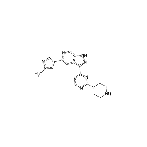 Cn1cc(-c2cc3c(-c4ccnc(C5CCNCC5)n4)n[nH]c3cn2)cn1